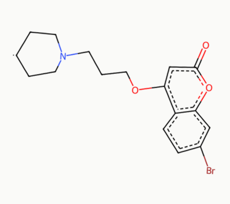 O=c1cc(OCCCN2CC[CH]CC2)c2ccc(Br)cc2o1